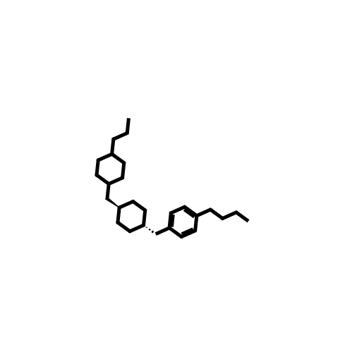 CCCCc1ccc(C[C@H]2CC[C@H](CC3CCC(CCC)CC3)CC2)cc1